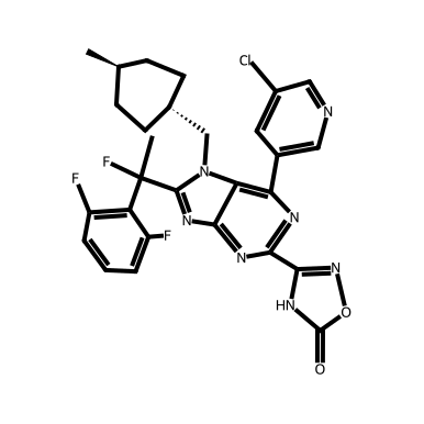 CC(F)(c1c(F)cccc1F)c1nc2nc(-c3noc(=O)[nH]3)nc(-c3cncc(Cl)c3)c2n1C[C@H]1CC[C@H](C)CC1